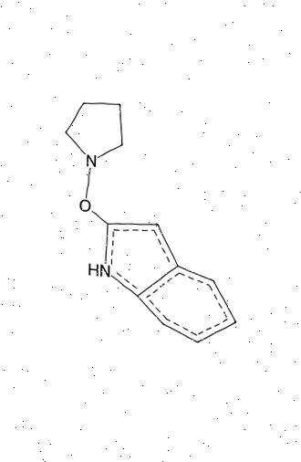 c1ccc2[nH]c(ON3CCCC3)cc2c1